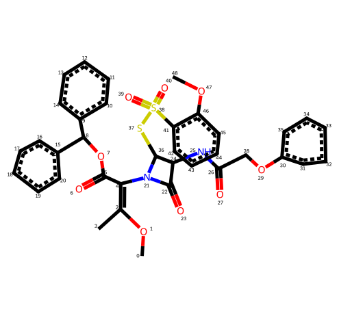 CO/C(C)=C(/C(=O)OC(c1ccccc1)c1ccccc1)N1C(=O)C(NC(=O)COc2ccccc2)C1SS(=O)(=O)c1ccccc1OC